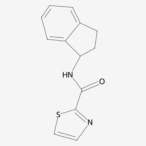 O=C(NC1CCc2ccccc21)c1nccs1